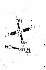 O=S(=O)(O)O.[Cu].[O]=[Mo](=[O])([OH])[OH]